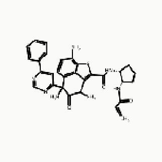 C=CC(=O)N[C@H]1CCC[C@H]1NC(=O)c1sc2c(N)ccc3c2c1C(N)C(=O)C3(N)c1cc(-c2ccccc2)ncn1